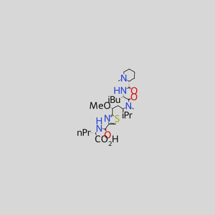 CCC[C@H](NC(=O)c1csc([C@@H](C[C@H](C(C)C)N(C)C(=O)[C@@H](NC(=O)[C@H]2CCCCN2C)[C@@H](C)CC)OC)n1)C(=O)O